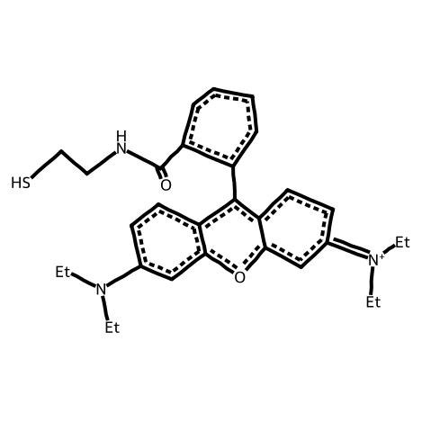 CCN(CC)c1ccc2c(-c3ccccc3C(=O)NCCS)c3ccc(=[N+](CC)CC)cc-3oc2c1